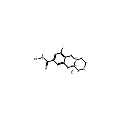 O=C(NO)c1cc(F)c2c(c1)C[C@@H]1COCCN1C2